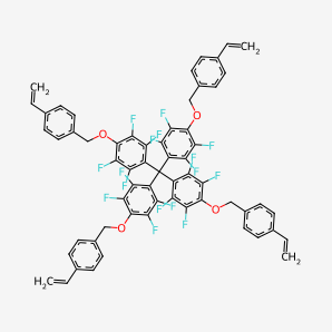 C=Cc1ccc(COc2c(F)c(F)c(C(c3c(F)c(F)c(OCc4ccc(C=C)cc4)c(F)c3F)(c3c(F)c(F)c(OCc4ccc(C=C)cc4)c(F)c3F)c3c(F)c(F)c(OCc4ccc(C=C)cc4)c(F)c3F)c(F)c2F)cc1